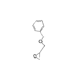 [CH](OCC1CO1)c1ccccc1